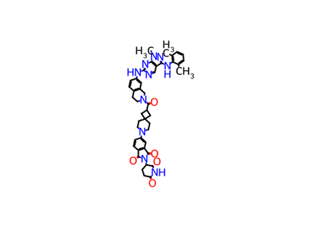 Cc1cccc(C)c1Nc1nn(C)c2nc(Nc3ccc4c(c3)CN(C(=O)C3CC5(CCN(c6ccc7c(c6)C(=O)N(C6CCC(=O)NC6=O)C7=O)CC5)C3)CC4)ncc12